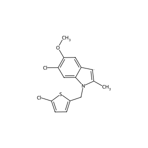 COc1cc2[c]c(C)n(Cc3ccc(Cl)s3)c2cc1Cl